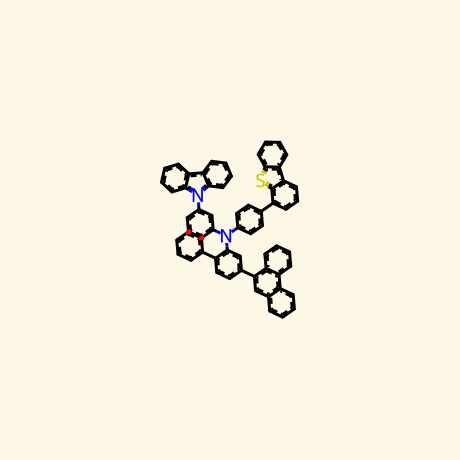 c1ccc(-c2ccc(-c3cc4ccccc4c4ccccc34)cc2N(c2ccc(-c3cccc4c3sc3ccccc34)cc2)c2cccc(-n3c4ccccc4c4ccccc43)c2)cc1